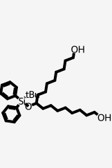 CC(C)(C)[Si](OC(CCCCCCCCO)CCCCCCCCO)(c1ccccc1)c1ccccc1